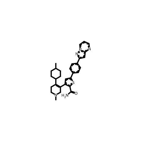 CC1CCC(C2=C(c3cc(-c4ccc(-c5cc6ncccn6n5)cc4)sc3C(N)=O)CN(C)CC2)CC1